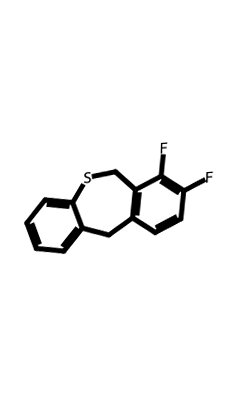 Fc1ccc2c(c1F)CSc1ccccc1C2